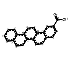 O=C(O)c1ccc2ccc3c(ccc4c5ccccc5ccc43)c2c1